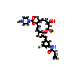 C/C(=C\c1cc(F)cc(NC(=O)CC2CC2)c1)[C@H]1OC(=O)C[C@H](O)CC[C@H](C)[C@H](OC(=O)N2CCN(C)CC2)/C=C/[C@@H]1C